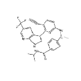 CC(C)NC(=O)c1ccc([C@@H](C)Nc2ncc(C#N)c(C3CNc4ncc(C(F)(F)F)cc43)n2)cc1